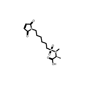 C[C@@H](C(=O)O)N(C)S(=O)(=O)CCCCCCN1C(=O)C=CC1=O